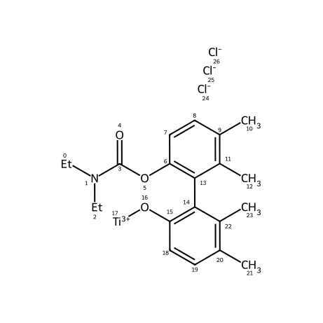 CCN(CC)C(=O)Oc1ccc(C)c(C)c1-c1c([O][Ti+3])ccc(C)c1C.[Cl-].[Cl-].[Cl-]